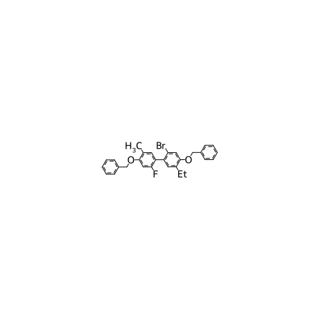 CCc1cc(-c2cc(C)c(OCc3ccccc3)cc2F)c(Br)cc1OCc1ccccc1